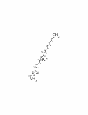 CCCCCC=CCC=CCC=CCC=CCCCC(=O)OCCN.Cl